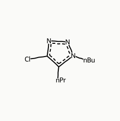 CCCCn1nnc(Cl)c1CCC